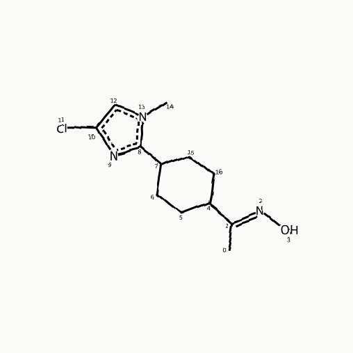 CC(=NO)C1CCC(c2nc(Cl)cn2C)CC1